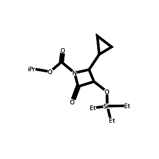 CC[Si](CC)(CC)OC1C(=O)N(C(=O)OC(C)C)C1C1CC1